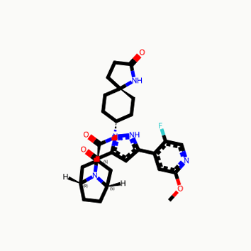 COc1cc(-c2cc(C(=O)N3[C@@H]4CC[C@H]3C[C@H](C(=O)N[C@H]3CC[C@]5(CCC(=O)N5)CC3)C4)n[nH]2)c(F)cn1